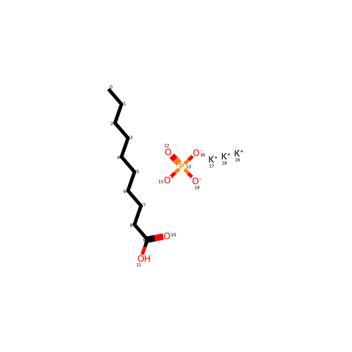 CCCCCCCCCC(=O)O.O=P([O-])([O-])[O-].[K+].[K+].[K+]